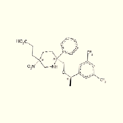 C[C@@H](OC[C@@]1(c2ccccc2)CC[C@@](CCC(=O)O)([N+](=O)[O-])CN1)c1cc(C(F)(F)F)cc(C(F)(F)F)c1